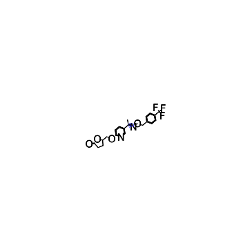 C/C(=N\OCc1ccc(C(F)(F)F)cc1)c1ccc(OCC2CCC(=O)O2)nc1